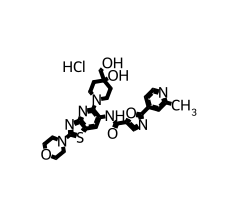 Cc1cc(-c2ncc(C(=O)Nc3cc4sc(N5CCOCC5)nc4nc3N3CCC(O)(CO)CC3)o2)ccn1.Cl